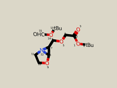 CC(C)(C)OC(=O)COCC1C2OCCN12.CC(C)(C)OC=O